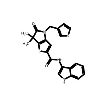 CC1(C)C(=O)N(Cc2ccsc2)c2cc(C(=O)Nc3c[nH]c4ccccc34)sc21